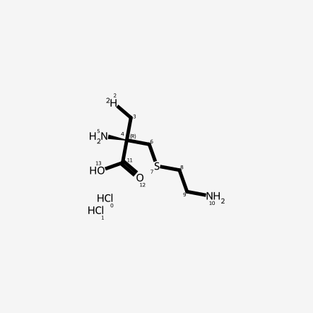 Cl.Cl.[2H]C[C@](N)(CSCCN)C(=O)O